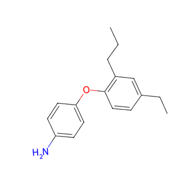 CCCc1cc(CC)ccc1Oc1ccc(N)cc1